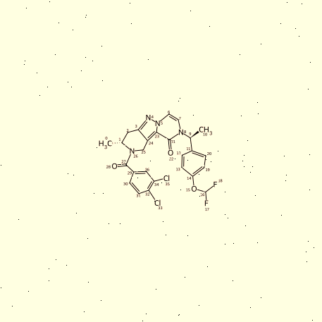 C[C@@H]1Cc2nn3ccn([C@@H](C)c4ccc(OC(F)F)cc4)c(=O)c3c2CN1C(=O)c1ccc(Cl)c(Cl)c1